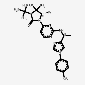 BC(B)(B)N1C(=O)N(c2ccnc(N[C@@H](C)c3cn(-c4ccc(C(F)(F)F)cc4)cn3)n2)[C@@H](C(C)C)C1(B)B